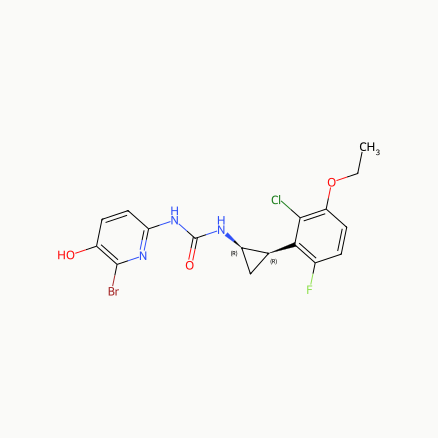 CCOc1ccc(F)c([C@H]2C[C@H]2NC(=O)Nc2ccc(O)c(Br)n2)c1Cl